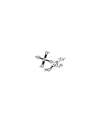 O=S(=O)(O)O.O=S(=O)([O-])[O-].[Cs+].[K+]